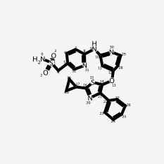 NS(=O)(=O)Cc1ccc(Nc2cc(Oc3sc(C4CC4)nc3-c3ccccc3)ccn2)nc1